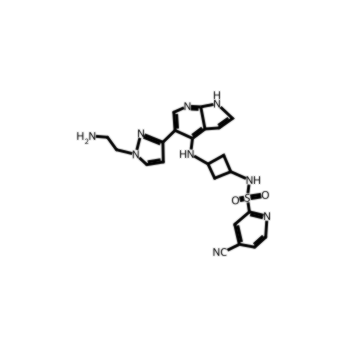 N#Cc1ccnc(S(=O)(=O)NC2CC(Nc3c(-c4ccn(CCN)n4)cnc4[nH]ccc34)C2)c1